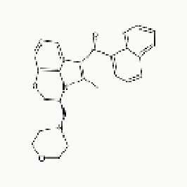 Cc1c(C(=O)c2cccc3ccccc23)c2cccc3c2n1[C@@H](CN1CCOCC1)CO3